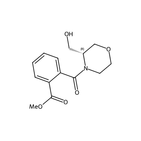 COC(=O)c1ccccc1C(=O)N1CCOC[C@H]1CO